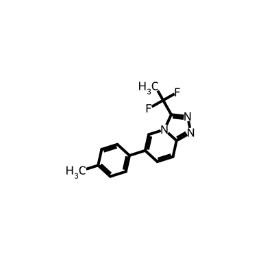 Cc1ccc(-c2ccc3nnc(C(C)(F)F)n3c2)cc1